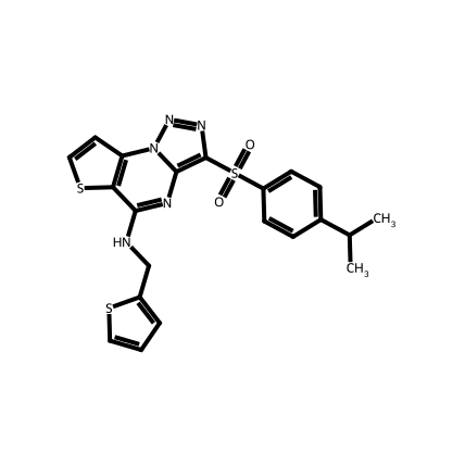 CC(C)c1ccc(S(=O)(=O)c2nnn3c2nc(NCc2cccs2)c2sccc23)cc1